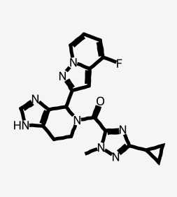 Cn1nc(C2CC2)nc1C(=O)N1CCc2[nH]cnc2C1c1cc2c(F)cccn2n1